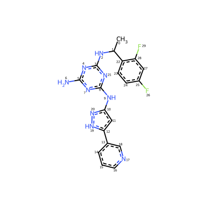 CC(Nc1nc(N)nc(Nc2cc(-c3cccnc3)[nH]n2)n1)c1ccc(F)cc1F